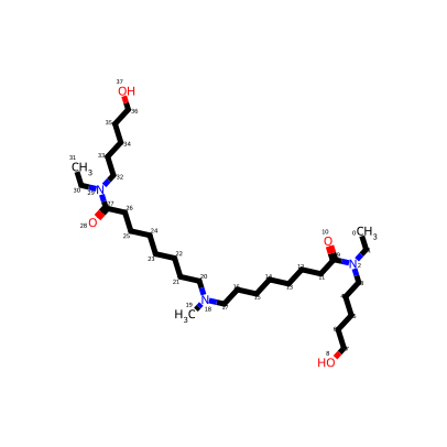 CCN(CCCCCO)C(=O)CCCCCCCN(C)CCCCCCCC(=O)N(CC)CCCCCO